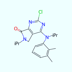 Cc1cccc(N(c2nc(Cl)nc3c2CN(C(C)C)C3=O)C(C)C)c1C